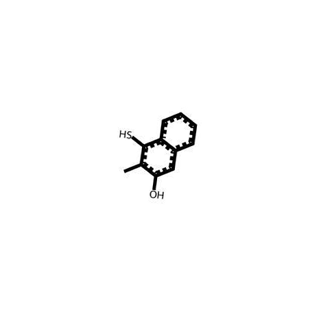 Cc1c(O)cc2ccccc2c1S